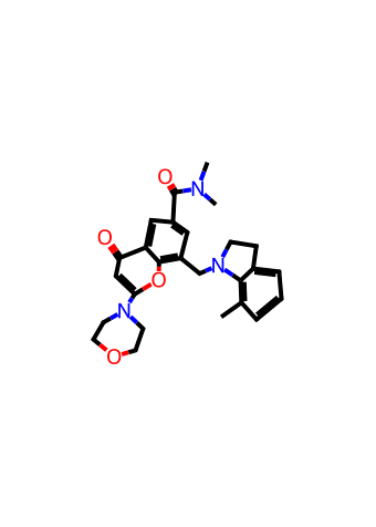 Cc1cccc2c1N(Cc1cc(C(=O)N(C)C)cc3c(=O)cc(N4CCOCC4)oc13)CC2